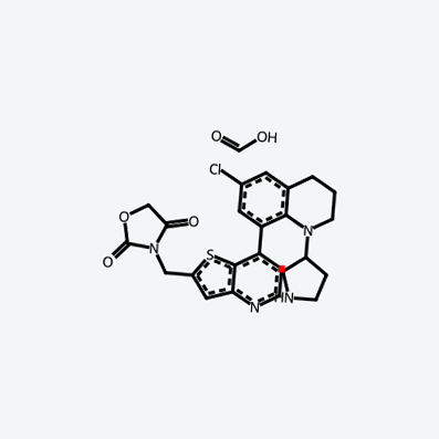 O=C1COC(=O)N1Cc1cc2nccc(-c3cc(Cl)cc4c3N(C3CCNC3)CCC4)c2s1.O=CO